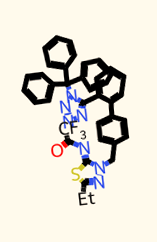 CCc1nn(Cc2ccc(-c3ccccc3-c3nnnn3C(c3ccccc3)(c3ccccc3)c3ccccc3)cc2)c(=NC(=O)C(F)(F)F)s1